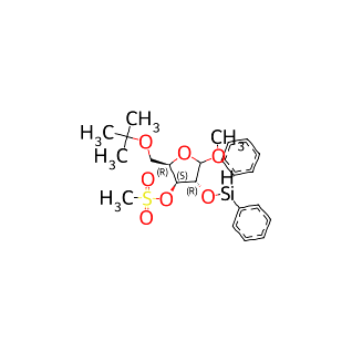 COC1O[C@H](COC(C)(C)C)[C@H](OS(C)(=O)=O)[C@H]1O[SiH](c1ccccc1)c1ccccc1